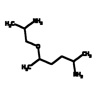 CC(N)CCC(C)OCC(C)N